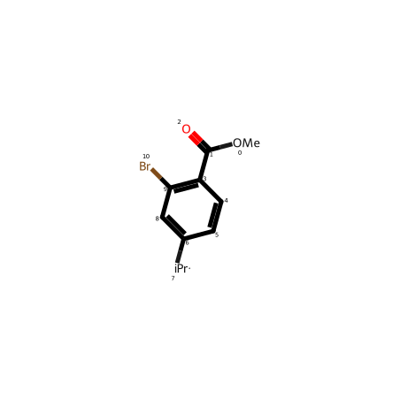 COC(=O)c1ccc([C](C)C)cc1Br